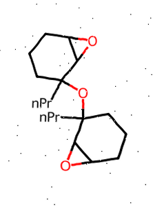 CCCC1(OC2(CCC)CCCC3OC32)CCCC2OC21